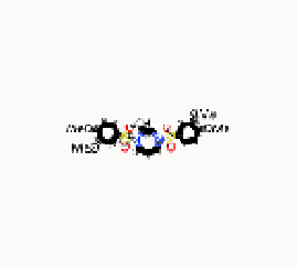 COc1ccc(S(=O)(=O)N2CCCN(S(=O)(=O)c3ccc(OC)c(OC)c3)C(C)C2)cc1OC